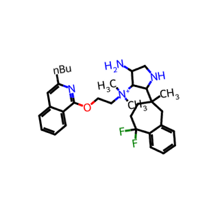 CCCCc1cc2ccccc2c(OCC[N+](C)(C)C2C(N)CNC2C2(C)CCC(F)(F)c3ccccc3C2)n1